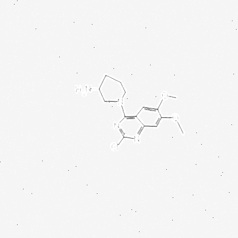 COc1cc2nc(Cl)nc(N3CCC[C@@H](N)C3)c2cc1OC